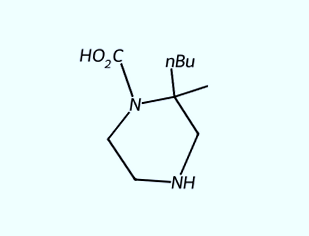 CCCCC1(C)CNCCN1C(=O)O